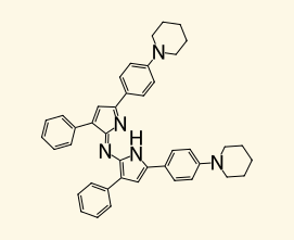 C1=C(c2ccccc2)/C(=N/c2[nH]c(-c3ccc(N4CCCCC4)cc3)cc2-c2ccccc2)N=C1c1ccc(N2CCCCC2)cc1